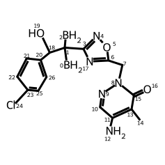 BC(B)(c1noc(Cn2ncc(N)c(C)c2=O)n1)C(O)c1ccc(Cl)cc1